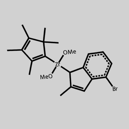 C[O][Zr]([O]C)([C]1=C(C)C(C)=C(C)C1(C)C)[CH]1C(C)=Cc2c(Br)cccc21